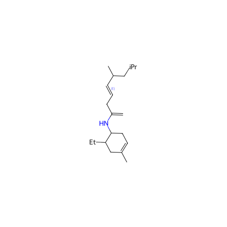 C=C(C/C=C/C(C)CC(C)C)NC1CC=C(C)CC1CC